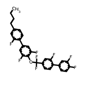 CCCCc1ccc(-c2cc(F)c(OC(F)(F)c3ccc(-c4ccc(F)c(F)c4)c(F)c3)c(F)c2)c(F)c1